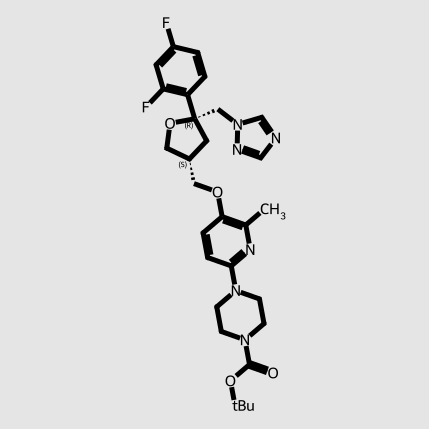 Cc1nc(N2CCN(C(=O)OC(C)(C)C)CC2)ccc1OC[C@@H]1CO[C@@](Cn2cncn2)(c2ccc(F)cc2F)C1